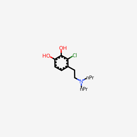 CCCN(CCC)CCc1ccc(O)c(O)c1Cl